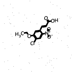 CCOc1cc(/C=C/C(=O)O)c([N+](=O)[O-])cc1Cl